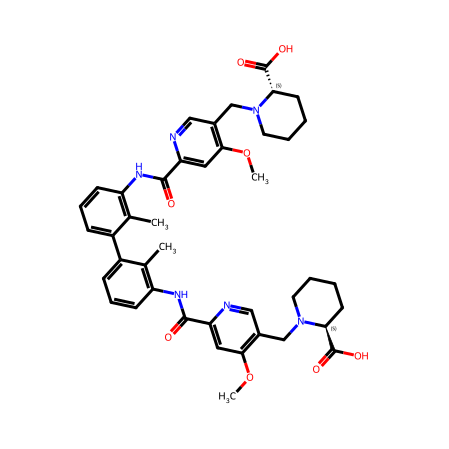 COc1cc(C(=O)Nc2cccc(-c3cccc(NC(=O)c4cc(OC)c(CN5CCCC[C@H]5C(=O)O)cn4)c3C)c2C)ncc1CN1CCCC[C@H]1C(=O)O